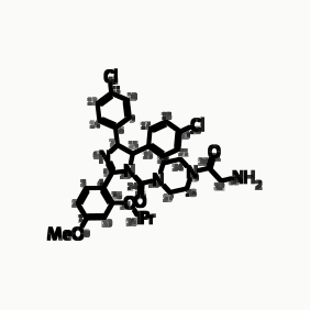 COc1ccc(C2=NC(c3ccc(Cl)cc3)C(c3ccc(Cl)cc3)N2C(=O)N2CCN(C(=O)CN)CC2)c(OC(C)C)c1